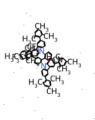 Cc1cc(C)c(-c2ccc3c(c2)c2cc(-c4c(C)cc(C)cc4C)ccc2n3-c2ccc(C#N)cc2-c2cc(-c3cc(C(F)(F)F)cc(C(F)(F)F)c3)ccc2-n2c3ccc(-c4c(C)cc(C)cc4C)cc3c3cc(-c4c(C)cc(C)cc4C)ccc32)c(C)c1